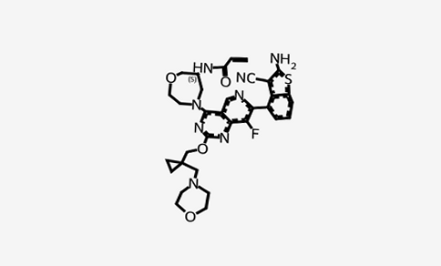 C=CC(=O)N[C@@H]1COCCN(c2nc(OCC3(CN4CCOCC4)CC3)nc3c(F)c(-c4cccc5sc(N)c(C#N)c45)ncc23)C1